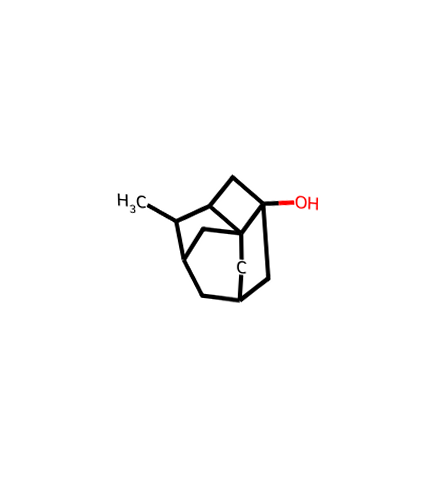 CC1C2CC3CC4(O)CC1C4(C3)C2